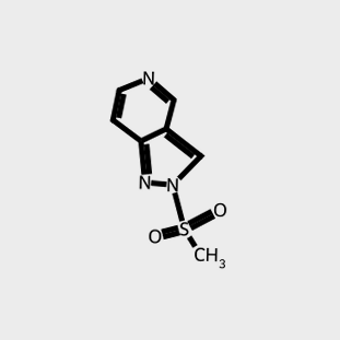 CS(=O)(=O)n1cc2cnccc2n1